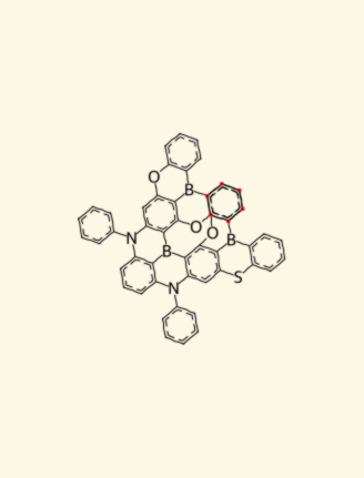 c1ccc(N2c3cccc4c3B(c3c2cc2c5c3Oc3ccccc3B5c3ccccc3O2)c2c(cc3c5c2Oc2ccccc2B5c2ccccc2S3)N4c2ccccc2)cc1